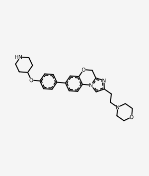 c1cc(-c2ccc3c(c2)OCc2nc(CCN4CCOCC4)cn2-3)ccc1OC1CCNCC1